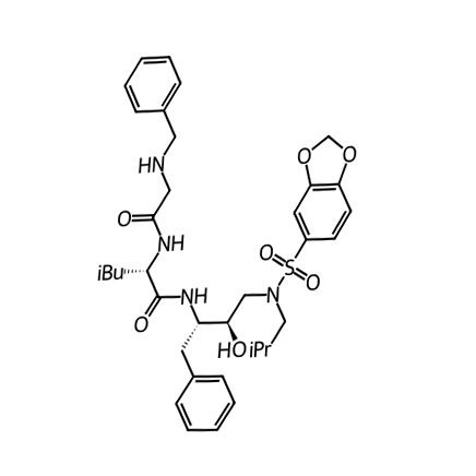 CCC(C)[C@H](NC(=O)CNCc1ccccc1)C(=O)N[C@@H](Cc1ccccc1)[C@H](O)CN(CC(C)C)S(=O)(=O)c1ccc2c(c1)OCO2